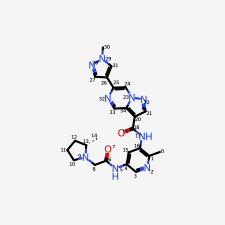 Cc1ncc(NC(=O)CN2CCC[C@@H]2C)cc1NC(=O)c1cnn2cc(-c3cnn(C)c3)ncc12